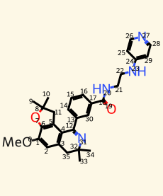 COc1cc2c(c3c1OC(C)(C)C3)C(c1cccc(C(=O)NCCNc3ccncc3)c1)=NC(C)(C)C2